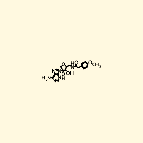 COc1ccc(CC(=O)NCC2OCC(O)(n3cnc4c(N)ncnc43)C2O)cc1